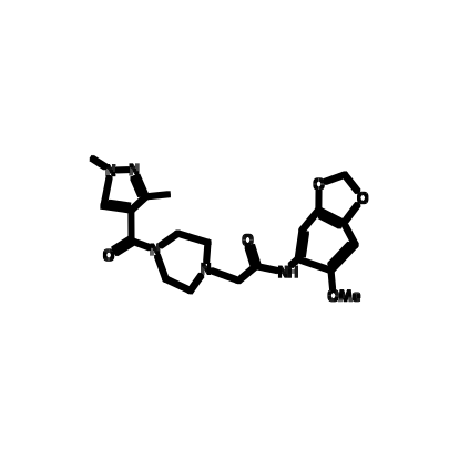 COc1cc2c(cc1NC(=O)CN1CCN(C(=O)c3cn(C)nc3C)CC1)OCO2